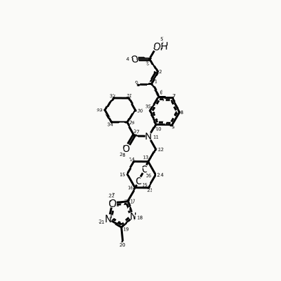 C/C(=C\C(=O)O)c1cccc(N(CC23CCC(c4nc(C)no4)(CC2)CC3)C(=O)C2CCCCC2)c1